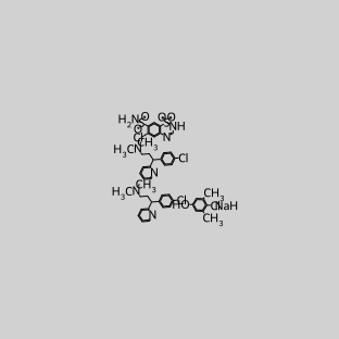 CN(C)CCC(c1ccc(Cl)cc1)c1ccccn1.CN(C)CCC(c1ccc(Cl)cc1)c1ccccn1.Cc1cc(O)cc(C)c1Cl.NS(=O)(=O)c1cc2c(cc1Cl)N=CNS2(=O)=O.[NaH]